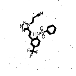 N#CCCn1nnnc1C=Cc1cc(C(F)(F)F)ccc1NS(=O)(=O)c1ccccc1